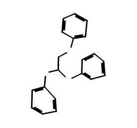 c1ccc(OC[C](Oc2ccccc2)Oc2ccccc2)cc1